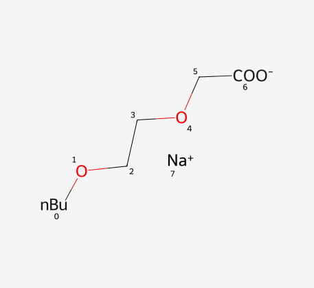 CCCCOCCOCC(=O)[O-].[Na+]